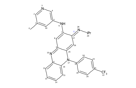 Cc1cncc(Nc2cc3nc4ccccc4n(-c4ccc(C(F)(F)F)cc4)c-3c/c2=N\C(C)C)c1